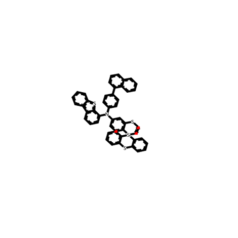 c1ccc2c(c1)Sc1ccccc1[Si]21c2ccccc2Sc2cc(N(c3ccc(-c4cccc5ccccc45)cc3)c3cccc4c3sc3ccccc34)ccc21